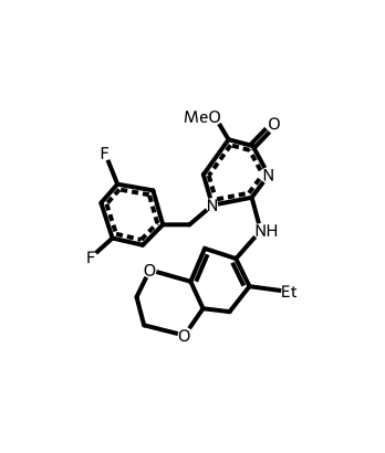 CCC1=C(Nc2nc(=O)c(OC)cn2Cc2cc(F)cc(F)c2)C=C2OCCOC2C1